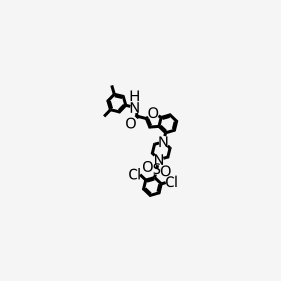 Cc1cc(C)cc(NC(=O)c2cc3c(N4CCN(S(=O)(=O)c5c(Cl)cccc5Cl)CC4)cccc3o2)c1